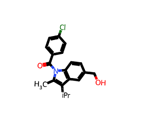 Cc1c(C(C)C)c2cc(CO)ccc2n1C(=O)c1ccc(Cl)cc1